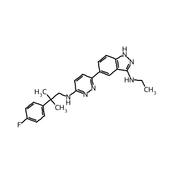 CCNc1n[nH]c2ccc(-c3ccc(NCC(C)(C)c4ccc(F)cc4)nn3)cc12